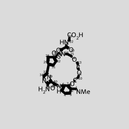 CNCc1cccc2c1OCCOCCOCCN(CC(=O)NCC(=O)O)S(=O)(=O)c1ccc(cc1)-c1cnc(N)c(n1)C(=O)N2